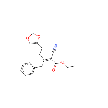 CCOC(=O)C(C#N)=C(CCC1=COCO1)Cc1ccccc1